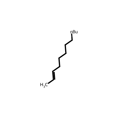 C[CH]CCCCCCCC=CC